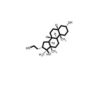 C[C@]12CC[C@@H](O)C[C@H]1CC[C@@H]1[C@@H]2CC[C@@]2(C)[C@H]1C[C@@H](CCO)[C@]2(C)O